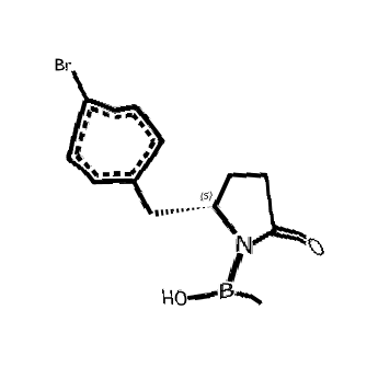 CB(O)N1C(=O)CC[C@H]1Cc1ccc(Br)cc1